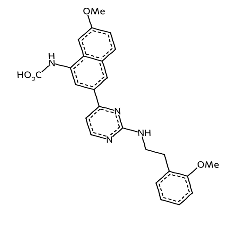 COc1ccc2cc(-c3ccnc(NCCc4ccccc4OC)n3)cc(NC(=O)O)c2c1